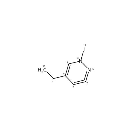 CCC1=CN(I)N=C=C1